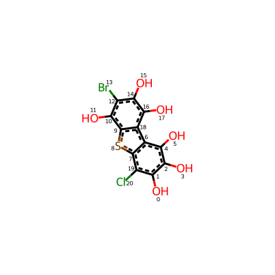 Oc1c(O)c(O)c2c(sc3c(O)c(Br)c(O)c(O)c32)c1Cl